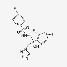 O=S(=O)(NCC(O)(Cn1cncn1)c1ccc(F)cc1F)c1ccc(F)cc1